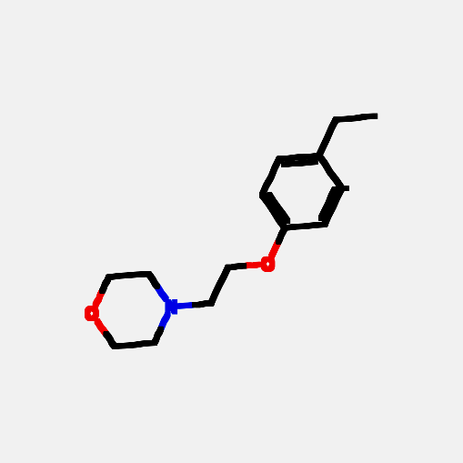 CCc1[c]cc(OCCN2CCOCC2)cc1